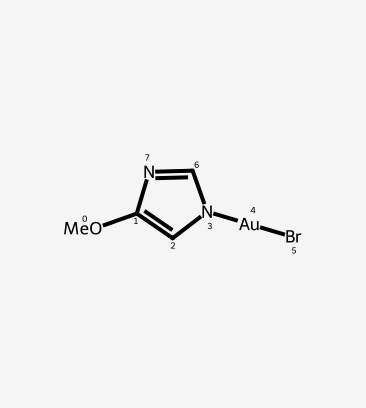 COc1c[n]([Au][Br])cn1